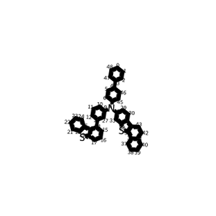 c1ccc(-c2ccc(N(c3cccc(-c4cccc5sc6ccccc6c45)c3)c3ccc4c(c3)sc3c5ccccc5ccc43)cc2)cc1